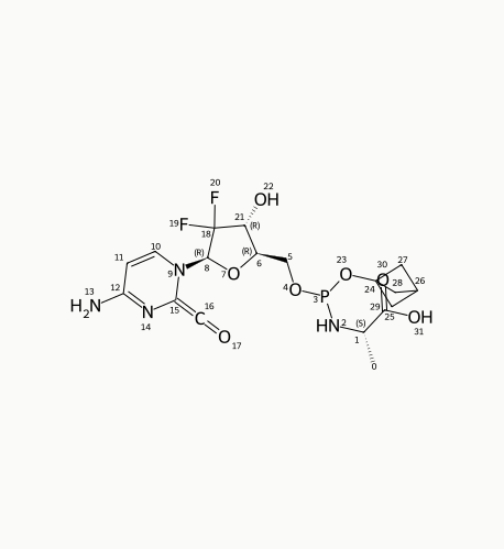 C[C@H](NP(OC[C@H]1O[C@@H](N2C=CC(N)=NC2=C=O)C(F)(F)[C@@H]1O)OC12CC(C1)C2)C(=O)O